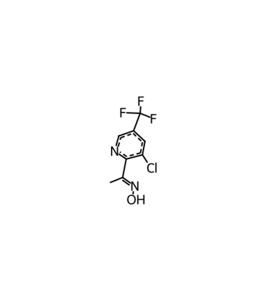 CC(=NO)c1ncc(C(F)(F)F)cc1Cl